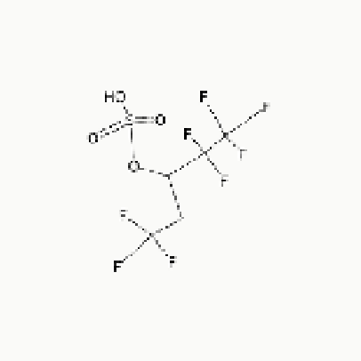 O=S(=O)(O)OC(CC(F)(F)F)C(F)(F)C(F)(F)F